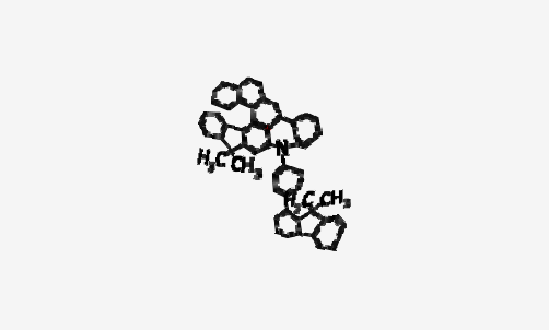 CC1(C)c2ccccc2-c2ccc(N(c3ccc(-c4cccc5c4C(C)(C)c4ccccc4-5)cc3)c3ccccc3-c3ccc4c(ccc5ccccc54)c3)cc21